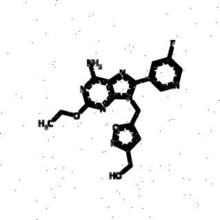 CCOc1nc(N)c2nc(-c3cncc(F)c3)n(Cc3cc(CO)no3)c2n1